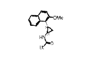 CCC(=O)N[C@@H]1C[C@H]1c1c(OC)ccc2ccccc12